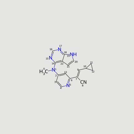 CN(c1ccnc(C(C#N)=CC2CC2)c1)c1ncnc2[nH]ccc12